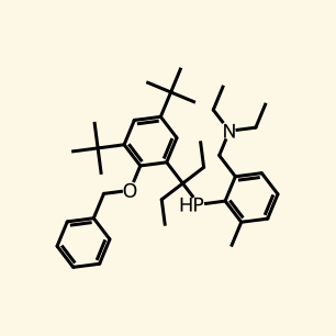 CCN(CC)Cc1cccc(C)c1PC(CC)(CC)c1cc(C(C)(C)C)cc(C(C)(C)C)c1OCc1ccccc1